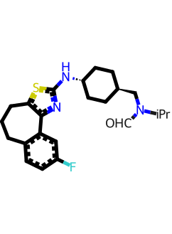 CC(C)N(C=O)C[C@H]1CC[C@H](Nc2nc3c(s2)CCCc2ccc(F)cc2-3)CC1